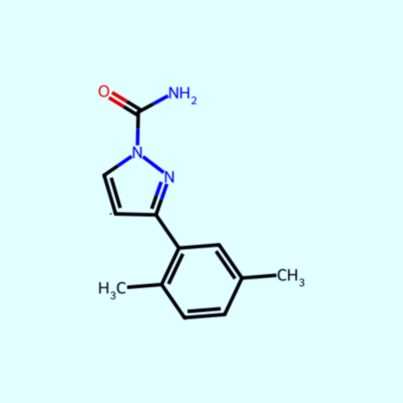 Cc1ccc(C)c(-c2[c]cn(C(N)=O)n2)c1